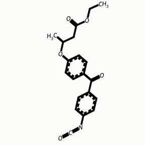 CCOC(=O)CC(C)Oc1ccc(C(=O)c2ccc(N=C=O)cc2)cc1